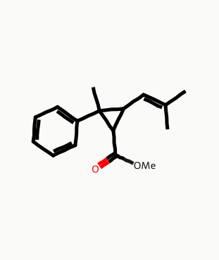 COC(=O)C1C(C=C(C)C)C1(C)c1ccccc1